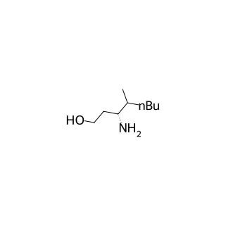 CCCCC(C)[C@H](N)CCO